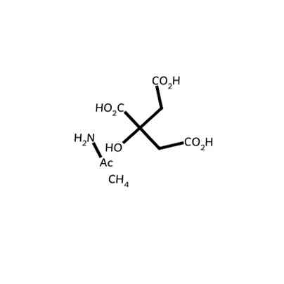 C.CC(N)=O.O=C(O)CC(O)(CC(=O)O)C(=O)O